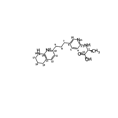 C[C@H](Nc1ccc(CCCc2ccc3c(n2)NCCC3)cn1)C(=O)O